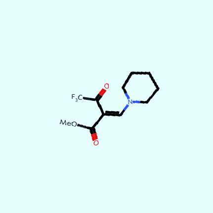 COC(=O)C(=CN1CCCCC1)C(=O)C(F)(F)F